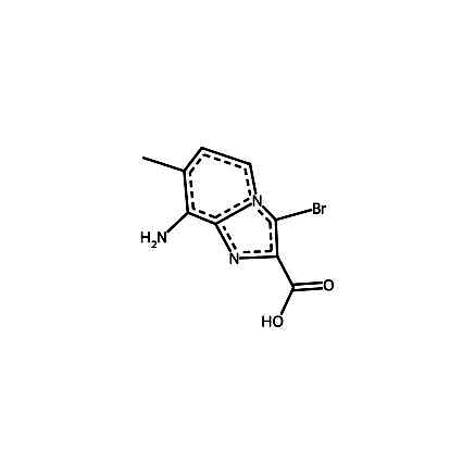 Cc1ccn2c(Br)c(C(=O)O)nc2c1N